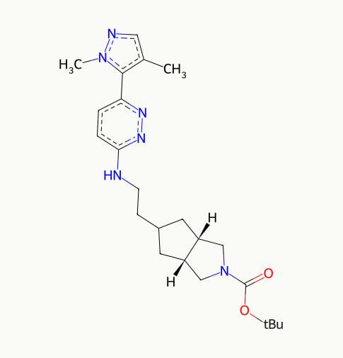 Cc1cnn(C)c1-c1ccc(NCCC2C[C@@H]3CN(C(=O)OC(C)(C)C)C[C@@H]3C2)nn1